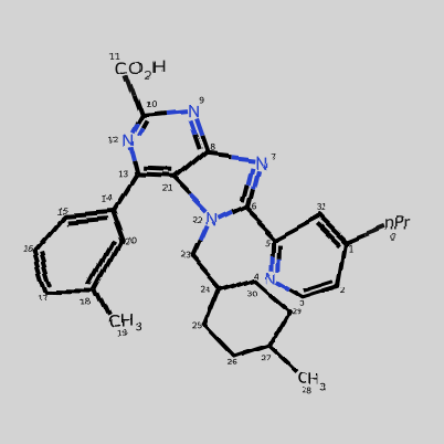 CCCc1ccnc(-c2nc3nc(C(=O)O)nc(-c4cccc(C)c4)c3n2CC2CCC(C)CC2)c1